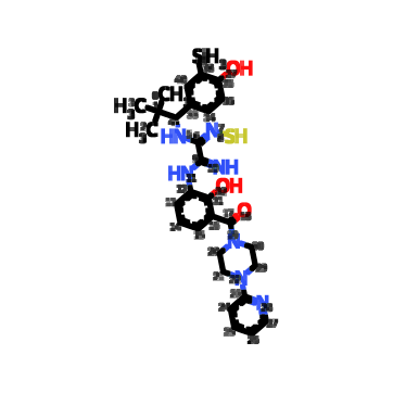 CC(C)(C)[C@@H](N/C(=N/S)C(=N)Nc1cccc(C(=O)N2CCN(c3ccccn3)CC2)c1O)c1ccc(O)c([SiH3])c1